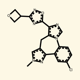 Cn1cc2c(n1)-c1cc(Cl)ccc1-n1cnc(-c3nc(C4COC4)no3)c1C2